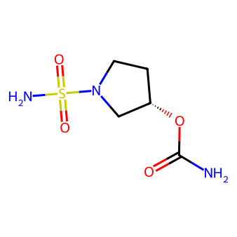 NC(=O)O[C@H]1CCN(S(N)(=O)=O)C1